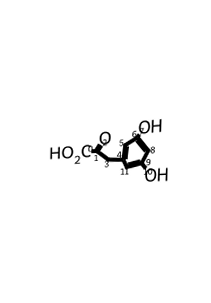 O=C(O)C(=O)Cc1cc(O)cc(O)c1